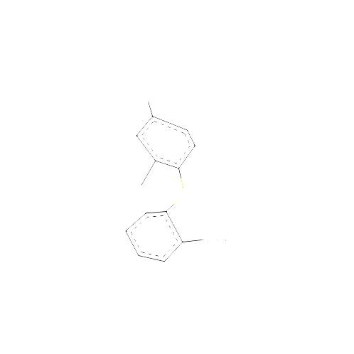 CCCCCCCCc1ccc(Sc2ccccc2CCCCCC)c(C)c1